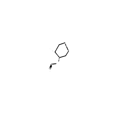 O=COC1CCCCC1.[Zn]